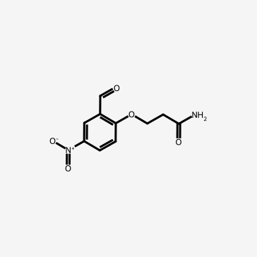 NC(=O)CCOc1ccc([N+](=O)[O-])cc1C=O